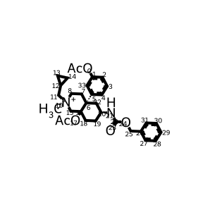 CC(=O)Oc1cccc([C@@]23CC[N@+](C)(CC4CC4)CC2(OC(C)=O)CC[C@H](NC(=O)OCc2ccccc2)C3)c1